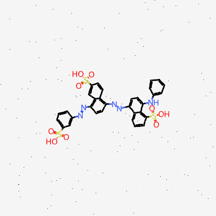 O=S(=O)(O)c1cccc(/N=N/c2ccc(/N=N/c3ccc(Nc4ccccc4)c4c(S(=O)(=O)O)cccc34)c3ccc(S(=O)(=O)O)cc23)c1